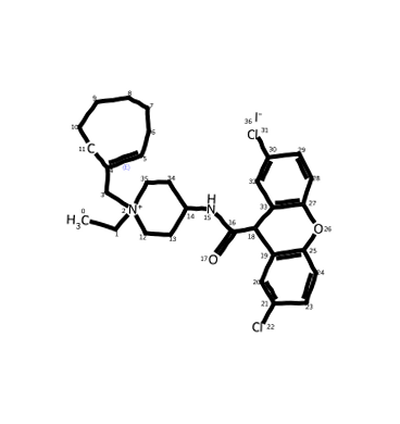 CC[N+]1(C/C2=C/CCCCCC2)CCC(NC(=O)C2c3cc(Cl)ccc3Oc3ccc(Cl)cc32)CC1.[I-]